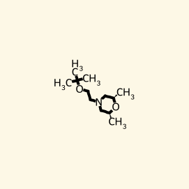 C[C@@H]1CN(CCOC(C)(C)C)C[C@H](C)O1